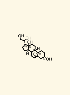 C[C@]12CC[C@H]3C(=CC=C4C[C@@H](O)CC[C@]43C)[C@@H]1CC[C@@H]2C(O)CO